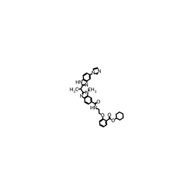 CC(c1nc2cc(-n3ccnc3)ccc2[nH]1)c1nc2ccc(C(=O)NCCOc3ccccc3C(=O)OC3CCCCC3)cc2n1C